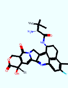 CC[C@@]1(O)C(=O)OCc2c1cc1n(c2=O)Cc2c-1nc1cc(F)c(C)c3c1c2[C@@H](NC(=O)[C@H](N)C(C)(C)SC)CC3